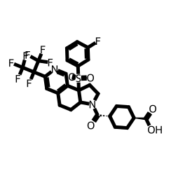 O=C(O)[C@H]1CC[C@H](C(=O)N2CCC3(S(=O)(=O)c4cccc(F)c4)c4cnc(C(F)(C(F)(F)F)C(F)(F)F)cc4CCC23)CC1